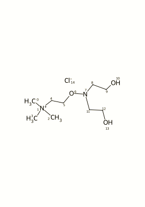 C[N+](C)(C)CCON(CCO)CCO.[Cl-]